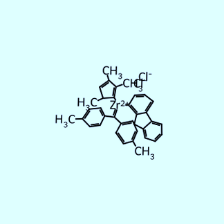 CC1=CC(C)[C]([Zr+2](=[C](c2ccc(C)cc2)c2ccc(C)cc2)[c]2cccc3c2Cc2ccccc2-3)=C1C.[Cl-].[Cl-]